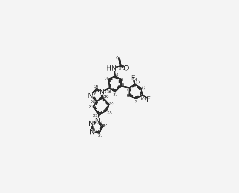 CC(=O)Nc1cc(-c2ccc(F)cc2F)cc(-n2cnc3cc(-n4ccnn4)ccc32)c1